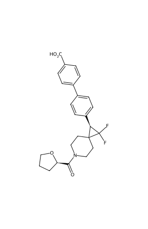 O=C(O)c1ccc(-c2ccc([C@H]3C(F)(F)C34CCN(C(=O)[C@H]3CCCO3)CC4)cc2)cc1